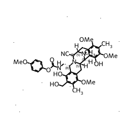 COc1ccc(OC(=O)NC[C@H]2c3c(O)c(CO)c(C)c(OC)c3C[C@H]3[C@@H]4c5c(O)c(OC)c(C)c(OC)c5C[C@@H]([C@H](C#N)N23)N4C)cc1